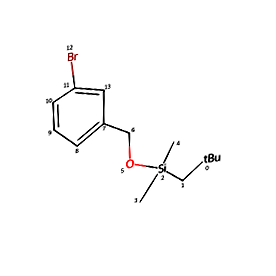 CC(C)(C)C[Si](C)(C)OCc1cccc(Br)c1